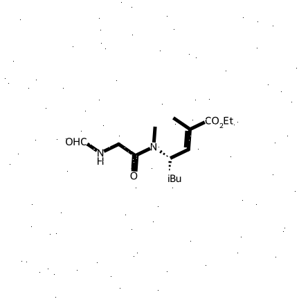 CCOC(=O)/C(C)=C/[C@H]([C@@H](C)CC)N(C)C(=O)CNC=O